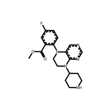 COC(=O)c1cc(F)ccc1N1CCN(C2CCNCC2)c2ncncc21